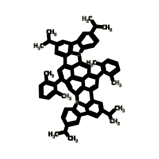 Cc1cccc(C)c1-c1cc2c3c(cc4c(-c5c(C)cccc5C)cc5c6c(cc1c3c46)B1c3ccc(C(C)C)cc3-c3cc(C(C)C)cc-5c31)B1c3ccc(C(C)C)cc3-c3cc(C(C)C)cc-2c31